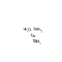 O.[BiH3].[Cu].[SeH2]